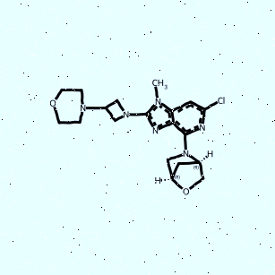 Cn1c(N2CC(N3CCOCC3)C2)nc2c(N3C[C@H]4C[C@@H]3CO4)nc(Cl)cc21